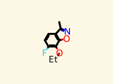 CCOc1c(F)ccc2c(C)noc12